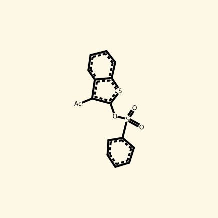 CC(=O)c1c(OS(=O)(=O)c2ccccc2)sc2ccccc12